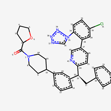 O=C(C1CCCO1)N1CCC(c2cccc([C@H](Cc3ccccc3)c3ccc(-c4cc(Cl)ccc4-n4cnnn4)cn3)c2)CC1